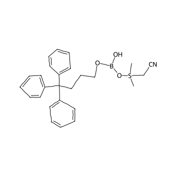 CS(C)(CC#N)OB(O)OCCCC(c1ccccc1)(c1ccccc1)c1ccccc1